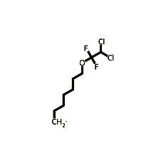 [CH2]CCCCCCOC(F)(F)C(Cl)Cl